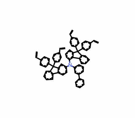 C=Cc1ccc(C2(c3ccc(C=C)cc3)c3ccccc3-c3ccc(N(c4cccc(-c5ccccc5)c4)c4cccc5c4-c4ccccc4C5(c4ccc(C=C)cc4)c4ccc(C=C)cc4)cc32)cc1